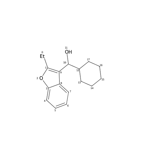 CCc1oc2ccccc2c1C(O)C1CCCCC1